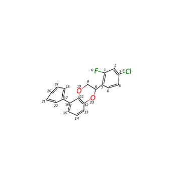 Fc1cc(Cl)ccc1C1COc2c(cccc2-c2ccccc2)O1